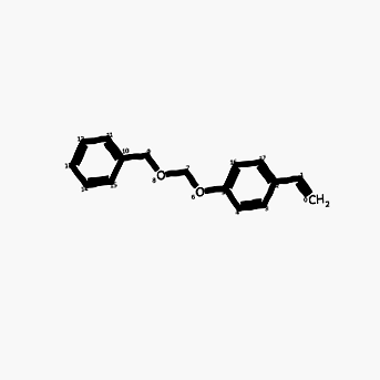 C=Cc1ccc(OCOCc2ccccc2)cc1